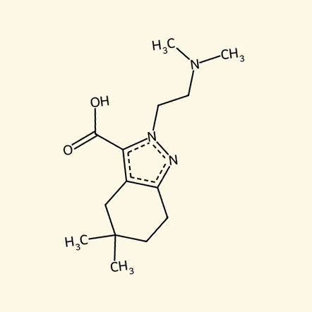 CN(C)CCn1nc2c(c1C(=O)O)CC(C)(C)CC2